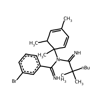 CCCCC(C)(C)C(=N)N(C(=N)c1cccc(Br)c1)C1(C)C=CC(C)=CC1C